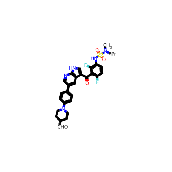 CC(C)N(C)S(=O)(=O)Nc1ccc(F)c(C(=O)c2c[nH]c3ncc(-c4ccc(N5CCC(C=O)CC5)cc4)cc23)c1F